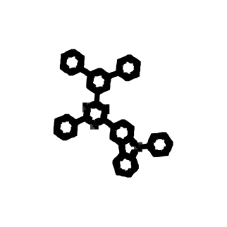 c1ccc(-c2cc(-c3ccccc3)cc(-c3nc(-c4ccccc4)nc(-c4ccc5c(c4)c4ccccc4n5-c4ccccc4)n3)c2)cc1